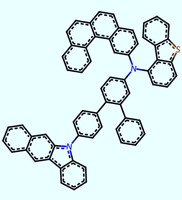 c1ccc(-c2cc(N(c3ccc4ccc5ccc6ccccc6c5c4c3)c3cccc4sc5ccccc5c34)ccc2-c2ccc(-n3c4ccccc4c4cc5ccccc5cc43)cc2)cc1